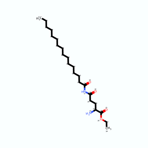 CCCCCCCCCCCCCCCC(=O)NC(=O)CCC(N)C(=O)OCC